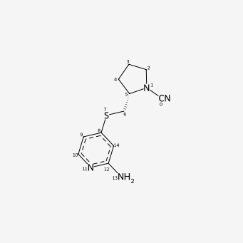 N#CN1CCC[C@H]1CSc1ccnc(N)c1